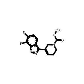 CC(C)(C)OC(=O)N1CCC=C(c2nsc3c(F)c(F)ccc23)C1